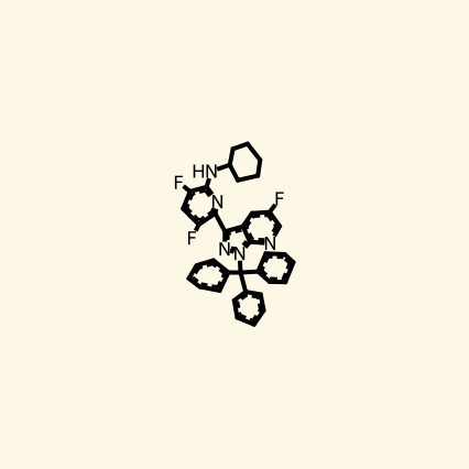 Fc1cnc2c(c1)c(-c1nc(NC3CCCCC3)c(F)cc1F)nn2C(c1ccccc1)(c1ccccc1)c1ccccc1